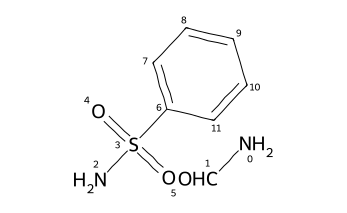 NC=O.NS(=O)(=O)c1ccccc1